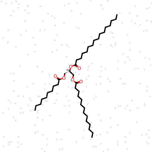 CCCCCCCCCCCCCCCC(=O)O[C@@H](COC(=O)CCCCCCCCC)COC(=O)CCCCCCCCCCCCC